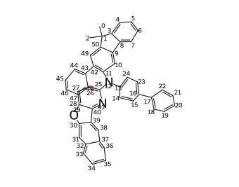 CC1(C)c2ccccc2-c2cc(N(c3ccc(-c4ccccc4)cc3)c3ccc4oc5cc6ccccc6cc5c4n3)c(-c3ccccc3)cc21